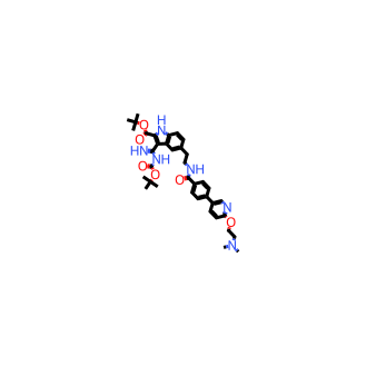 CN(C)CCOc1ccc(-c2ccc(C(=O)NCCc3ccc4[nH]c(C(=O)OC(C)(C)C)c(C(=N)NC(=O)OC(C)(C)C)c4c3)cc2)cn1